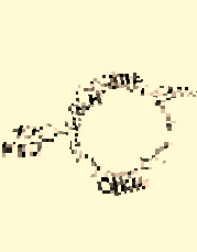 CO[C@H]1C[C@@H]2CC[C@@H](C)[C@@](O)(O2)C(=O)C(=O)N2CCCC[C@H]2C(=O)O[C@H]([C@H](C)C[C@@H]2CC[C@@H](O)[C@H](OC)C2)CC(=O)[C@H](C)/C=C(\C)[C@@H](O)[C@@H](OC)C(=O)[C@H](C)C[C@@H](C)/C=C/C=C/C=C/1C